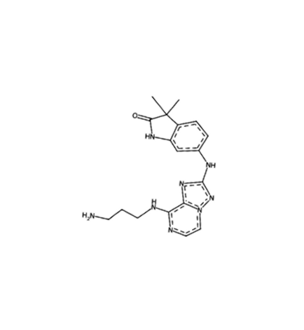 CC1(C)C(=O)Nc2cc(Nc3nc4c(NCCCN)nccn4n3)ccc21